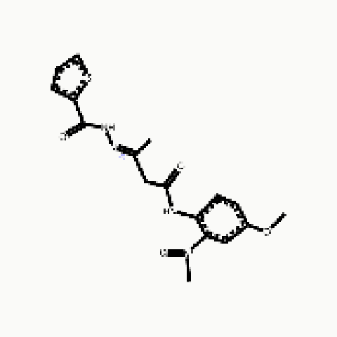 COc1ccc(NC(=O)C/C(C)=N/NC(=O)c2cccs2)c([N+](C)=O)c1